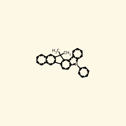 CC1(C)c2cc3ccccc3cc2-c2ccc3c(c21)c1ccccc1n3-c1ccccc1